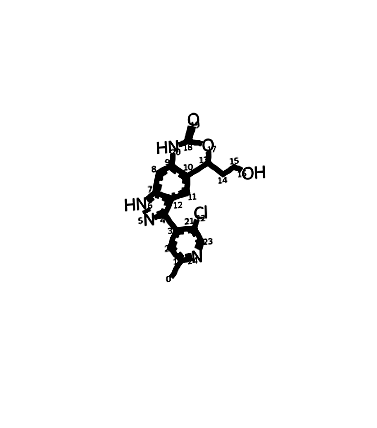 Cc1cc(-c2n[nH]c3cc4c(cc23)C(CCO)OC(=O)N4)c(Cl)cn1